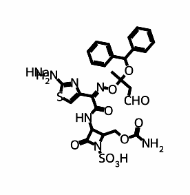 CC(CC=O)(O/N=C(\C(=O)NC1C(=O)N(S(=O)(=O)O)C1COC(N)=O)c1csc(N)n1)OC(c1ccccc1)c1ccccc1.[NaH]